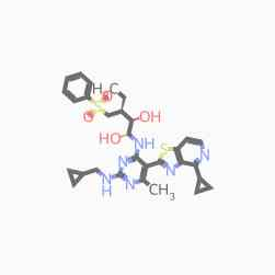 CC[C@H](CS(=O)(=O)c1ccccc1)[C@@H](O)[C@@H](O)Nc1nc(NCC2CC2)nc(C)c1-c1nc2c(C3CC3)nccc2s1